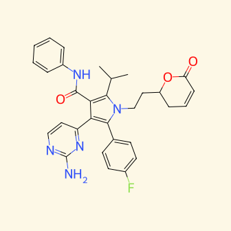 CC(C)c1c(C(=O)Nc2ccccc2)c(-c2ccnc(N)n2)c(-c2ccc(F)cc2)n1CCC1CC=CC(=O)O1